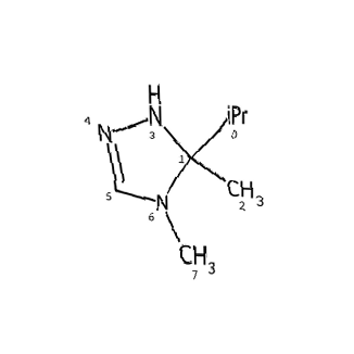 CC(C)C1(C)NN=CN1C